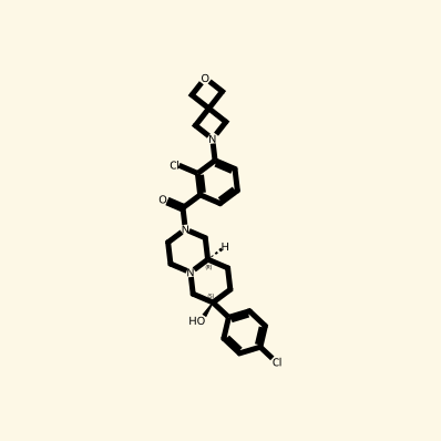 O=C(c1cccc(N2CC3(COC3)C2)c1Cl)N1CCN2C[C@@](O)(c3ccc(Cl)cc3)CC[C@@H]2C1